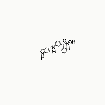 O=C(NO)C(c1ccccc1)c1cccc(NCc2ccc3[nH]ccc3c2)c1